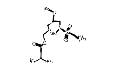 CC(C)O[C@H](COCOC(=O)[C@@H](N)C(C)C)CN(C(C)(C)C)S(C)(=O)=O